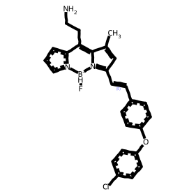 CC1=CC(/C=C/c2ccc(Oc3ccc(Cl)cc3)cc2)=[N+]2[BH-](F)n3cccc3C(CCN)=C12